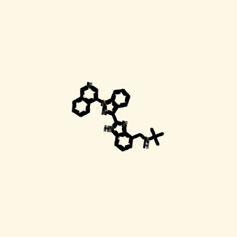 CC(C)(C)NCc1cccc2[nH]c(-c3nn(-c4cncc5ccccc45)c4ccccc34)nc12